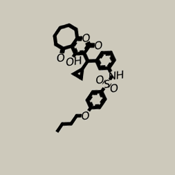 CCCCOc1ccc(S(=O)(=O)Nc2cccc(C(c3c(O)c4c(oc3=O)CCCCCC4=O)C3CC3)c2)cc1